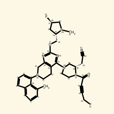 Cc1cccc2cccc(N3CCc4c(nc(OC[C@@H]5C[C@@H](F)CN5C)nc4N4CCN(C(=O)C#CCF)[C@@H](CC#N)C4)C3)c12